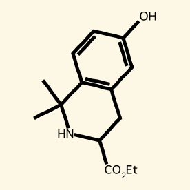 CCOC(=O)C1Cc2cc(O)ccc2C(C)(C)N1